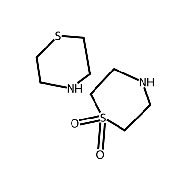 C1CSCCN1.O=S1(=O)CCNCC1